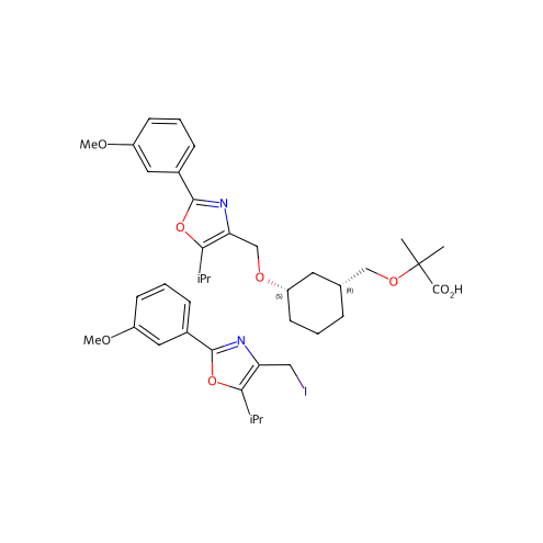 COc1cccc(-c2nc(CI)c(C(C)C)o2)c1.COc1cccc(-c2nc(CO[C@H]3CCC[C@@H](COC(C)(C)C(=O)O)C3)c(C(C)C)o2)c1